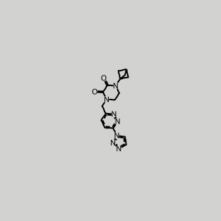 O=C1C(=O)N(C23CC(C2)C3)CCN1Cc1ccc(-n2ccnn2)nn1